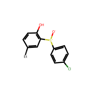 CCc1ccc(O)c([S+]([O-])c2ccc(Cl)cc2)c1